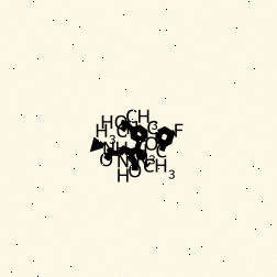 Cc1cc(F)cc(C)c1Oc1ccc(C(C)(C)O)cc1-c1cn(C)c(=O)c2[nH]c(C(=O)NC3CC3)cc12